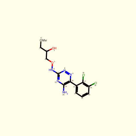 COCC(O)CONc1nnc(-c2cccc(Cl)c2Cl)c(N)n1